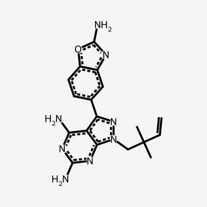 C=CC(C)(C)Cn1nc(-c2ccc3oc(N)nc3c2)c2c(N)nc(N)nc21